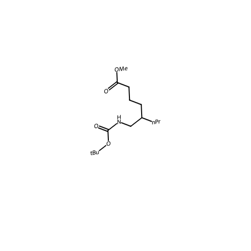 CCCC(CCCC(=O)OC)CNC(=O)OC(C)(C)C